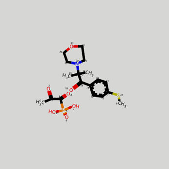 CC(=O)C(=O)P(=O)(O)O.CSc1ccc(C(=O)C(C)(C)N2CCOCC2)cc1